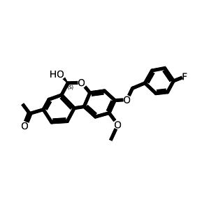 COc1cc2c(cc1OCc1ccc(F)cc1)O[C@H](O)c1cc(C(C)=O)ccc1-2